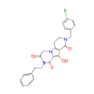 O=C1c2c(O)c3n(c2CCN1Cc1ccc(F)cc1)CC(=O)N(CCc1ccccc1)C3=O